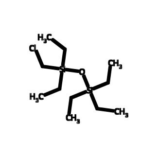 CC[Si](CC)(CC)O[Si](CC)(CC)CCl